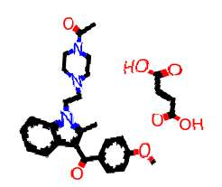 COc1ccc(C(=O)c2c(C)n(CCN3CCN(C(C)=O)CC3)c3ccccc23)cc1.O=C(O)C=CC(=O)O